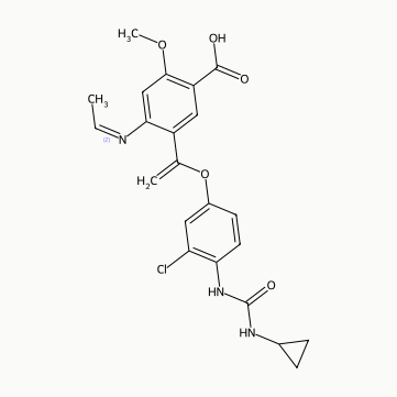 C=C(Oc1ccc(NC(=O)NC2CC2)c(Cl)c1)c1cc(C(=O)O)c(OC)cc1/N=C\C